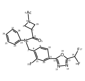 CC(=O)N1CC(C(=O)N(Cc2ccc(-c3nnc(C(F)F)o3)cc2F)c2ccccc2)C1